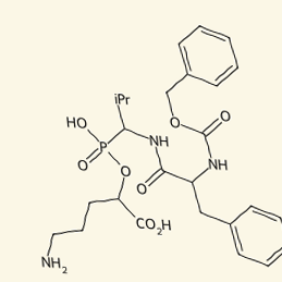 CC(C)C(NC(=O)C(Cc1ccccc1)NC(=O)OCc1ccccc1)P(=O)(O)OC(CCCN)C(=O)O